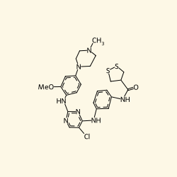 COc1cc(N2CCN(C)CC2)ccc1Nc1ncc(Cl)c(Nc2cccc(NC(=O)C3CSSC3)c2)n1